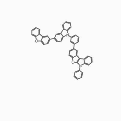 c1ccc(-n2c3ccccc3c3c4cc(-c5cccc(-n6c7ccccc7c7cc(-c8ccc9oc%10ccccc%10c9c8)ccc76)c5)ccc4oc32)cc1